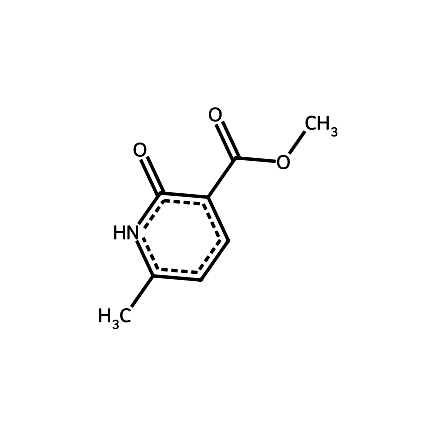 COC(=O)c1ccc(C)[nH]c1=O